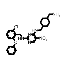 NCC1CCC(CNc2nc(NCc3c(Cl)cccc3Oc3ccccc3)ncc2[N+](=O)[O-])CC1